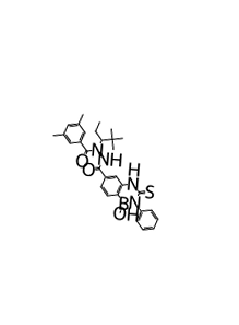 CCC(N(NC(=O)c1ccc2c(c1)NC(=S)N(c1ccccc1)B2O)C(=O)c1cc(C)cc(C)c1)C(C)(C)C